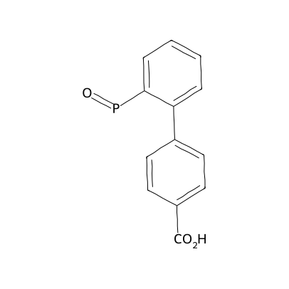 O=Pc1ccccc1-c1ccc(C(=O)O)cc1